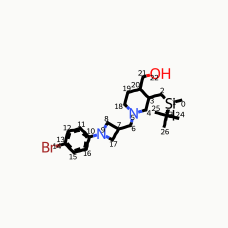 C[SiH](CC1CN(CC2CN(c3ccc(Br)cc3)C2)CCC1CO)C(C)(C)C